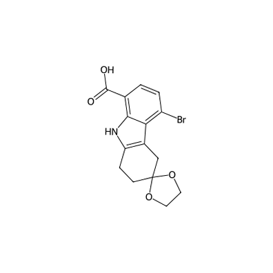 O=C(O)c1ccc(Br)c2c3c([nH]c12)CCC1(C3)OCCO1